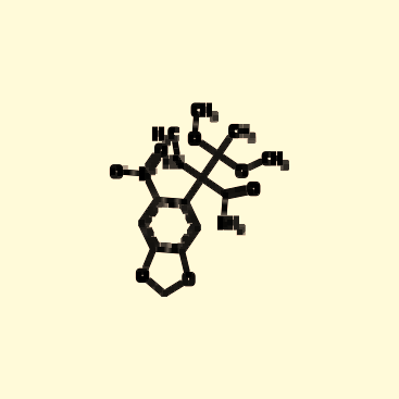 CNC(C(N)=O)(c1cc2c(cc1[N+](=O)[O-])OCO2)C(C)(OC)OC